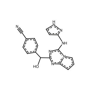 N#Cc1ccc(C(O)c2nc(Nc3cc[nH]n3)n3cccc3n2)cc1